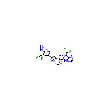 Nc1ncc(-c2cc3n(n2)CCOC32CCN(C(c3ncc[nH]3)C(F)F)C2)cc1C(F)(F)F